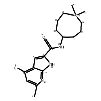 Cc1cc(Cl)c2cc(C(=O)NC3CCC[Si](C)(C)CCC3)[nH]c2n1